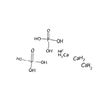 F.O=P(O)(O)O.O=P(O)(O)O.[CaH2].[CaH2].[CaH2]